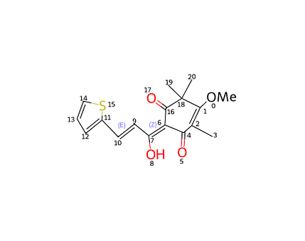 COC1=C(C)C(=O)/C(=C(O)/C=C/c2cccs2)C(=O)C1(C)C